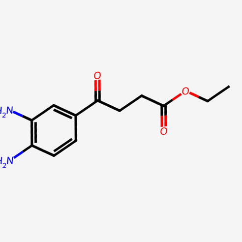 CCOC(=O)CCC(=O)c1ccc(N)c(N)c1